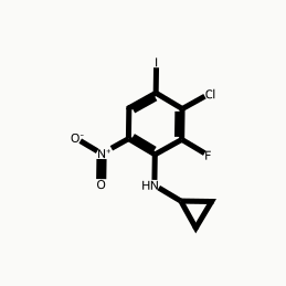 O=[N+]([O-])c1cc(I)c(Cl)c(F)c1NC1CC1